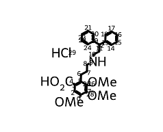 COc1cc(C(=O)O)c(CCCNCCC(c2ccccc2)c2ccccc2)c(OC)c1OC.Cl